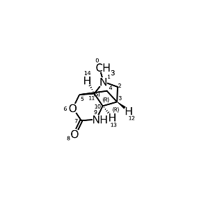 CN1C[C@H]2CC3OC(=O)N[C@H]2[C@@H]31